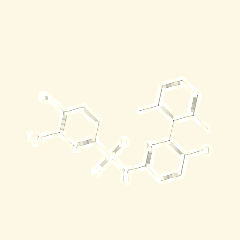 Cc1cccc(C)c1-c1nc(NS(=O)(=O)c2ccc(Br)c(N)n2)ccc1Cl